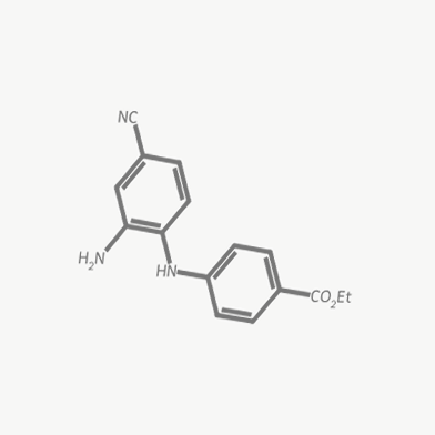 CCOC(=O)c1ccc(Nc2ccc(C#N)cc2N)cc1